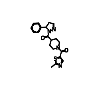 Cc1ncc(C(=O)N2CCC(C(=O)N3N=CCC3c3ccccc3)CC2)s1